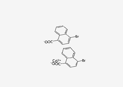 O=C([O-])c1ccc(Br)c2ccccc12.O=C([O-])c1ccc(Br)c2ccccc12.[Cd+2]